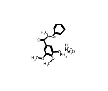 COc1cc(C(=O)[N](C)[Ge][c]2ccccc2)cc(OC)c1OC.O.O.O